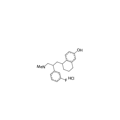 CNCC(CC1CCCc2cc(O)ccc21)c1cccc(F)c1.Cl